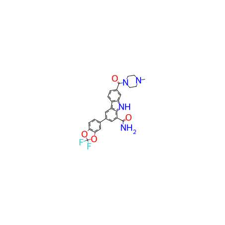 CN1CCN(C(=O)c2ccc3c(c2)[nH]c2c(C(N)=O)cc(-c4ccc5c(c4)OC(F)(F)O5)cc23)CC1